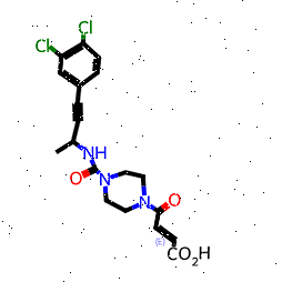 CC(C#Cc1ccc(Cl)c(Cl)c1)NC(=O)N1CCN(C(=O)/C=C/C(=O)O)CC1